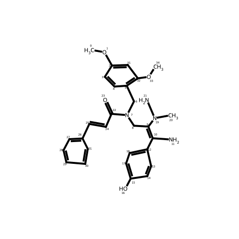 COc1ccc(CN(C/C(=C(/N)c2ccc(O)cc2)N(C)N)C(=O)/C=C/c2ccccc2)c(OC)c1